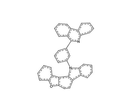 c1cc(-c2nc3ccccc3c3ccccc23)cc(-n2c3ccccc3c3ccc4oc5ccccc5c4c32)c1